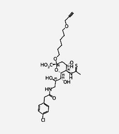 C#CCOCCCCCCO[C@]1(C(=O)O)C[C@H](O)[C@@H](NC(C)=S)[C@H]([C@H](O)[C@H](O)CNC(=O)Cc2ccc(Cl)cc2)O1